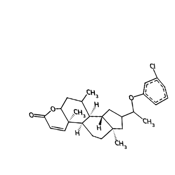 CC(Oc1cccc(Cl)c1)C1C[C@H]2[C@@H]3C(C)CC4OC(=O)C=C[C@]4(C)[C@@H]3CC[C@]2(C)C1